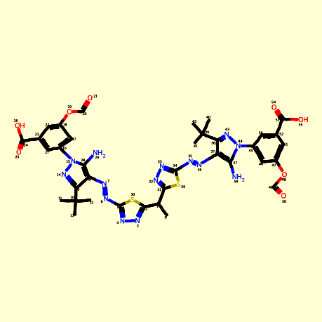 CC(c1nnc(N=Nc2c(C(C)(C)C)nn(-c3cc(OC=O)cc(C(=O)O)c3)c2N)s1)c1nnc(N=Nc2c(C(C)(C)C)nn(-c3cc(OC=O)cc(C(=O)O)c3)c2N)s1